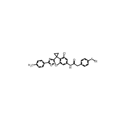 CCSc1ccc(CC(=O)Nc2cc(Cl)c(C3(c4noc(-c5ccc(C)cc5)n4)CC3)c(Cl)c2)cc1